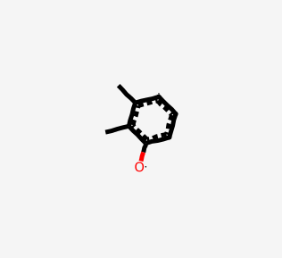 Cc1[c]ccc([O])c1C